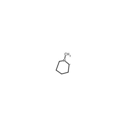 CN1[C]CCCC1